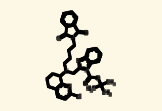 CC(C)(C)OC(=O)n1c(CN(CCCCN2C(=O)c3ccccc3C2=O)C2CCCc3ccc(Cl)nc32)nc2ccccc21